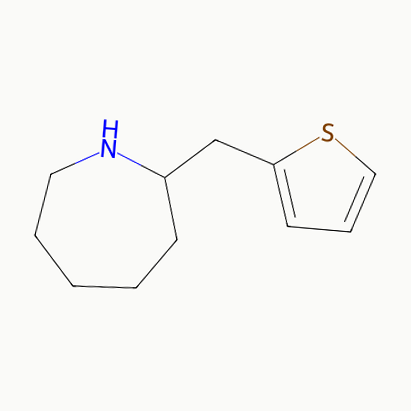 c1csc(CC2CCCCCN2)c1